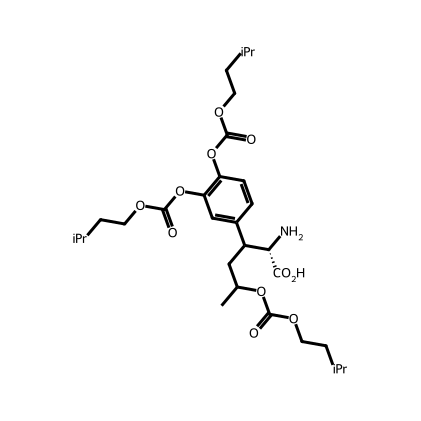 CC(C)CCOC(=O)Oc1ccc(C(CC(C)OC(=O)OCCC(C)C)[C@H](N)C(=O)O)cc1OC(=O)OCCC(C)C